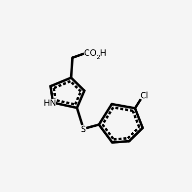 O=C(O)Cc1c[nH]c(Sc2cccc(Cl)c2)c1